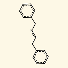 C(Cc1ccccc1)=NCc1ccccc1